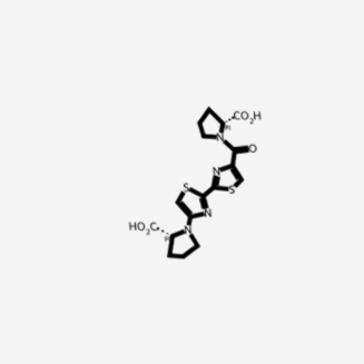 O=C(O)[C@H]1CCCN1C(=O)c1csc(-c2nc(N3CCC[C@@H]3C(=O)O)cs2)n1